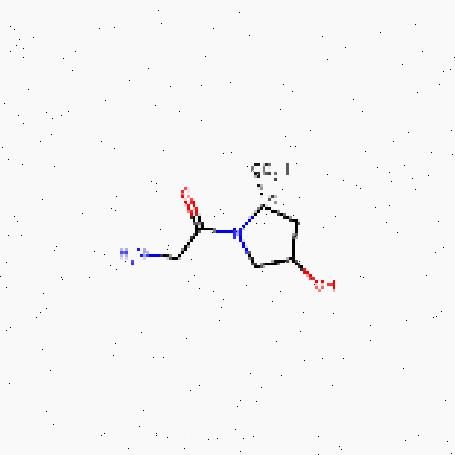 NCC(=O)N1CC(O)C[C@H]1C(=O)O